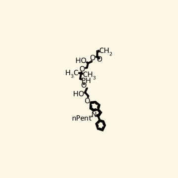 C=CC(=O)OCC(O)COC(C)(C)CPOCC(O)COc1ccc2cc(-c3ccccc3)n(CCCCC)c2c1